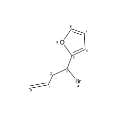 C=C[CH]C(Br)c1ccco1